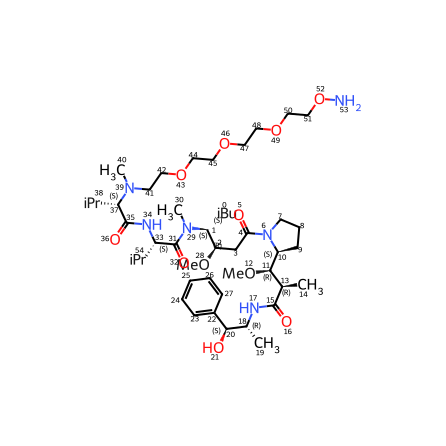 CC[C@H](C)[C@@H]([C@@H](CC(=O)N1CCC[C@H]1[C@H](OC)[C@@H](C)C(=O)N[C@H](C)[C@@H](O)c1ccccc1)OC)N(C)C(=O)[C@@H](NC(=O)[C@H](C(C)C)N(C)CCOCCOCCOCCON)C(C)C